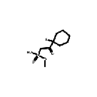 COP(=O)(O)CC(=O)C1(F)CCCCC1